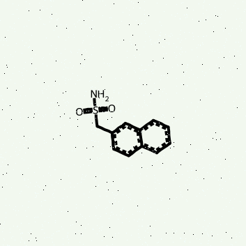 NS(=O)(=O)Cc1ccc2ccccc2c1